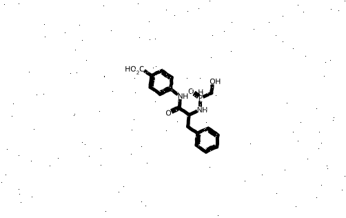 O=C(O)c1ccc(NC(=O)C(Cc2ccccc2)N[PH](=O)CO)cc1